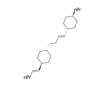 CCC/C=C/[C@H]1CC[C@H](CC/C=C/[C@H]2CC[C@H](CCC)CC2)CC1